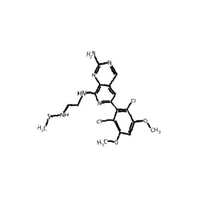 COc1cc(OC)c(Cl)c(-c2cc3cnc(N)nc3c(NCCNSC)n2)c1Cl